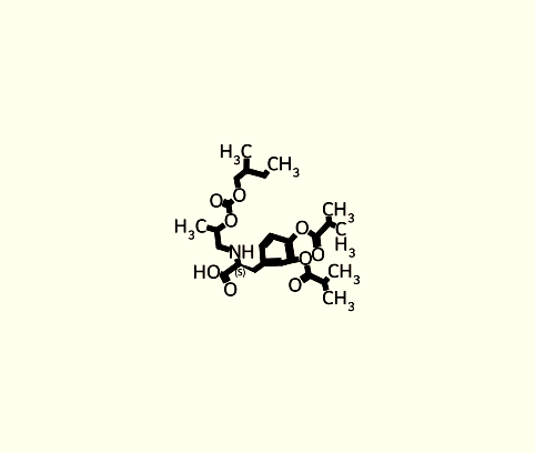 CCC(C)COC(=O)OC(C)CN[C@@H](Cc1ccc(OC(=O)C(C)C)c(OC(=O)C(C)C)c1)C(=O)O